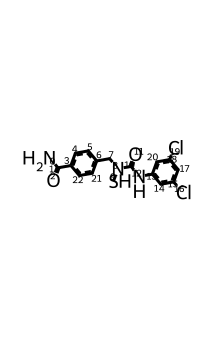 NC(=O)c1ccc(CN(S)C(=O)Nc2cc(Cl)cc(Cl)c2)cc1